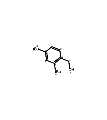 CC(C)(C)c1ccc(CO)c(C(C)(C)C)c1